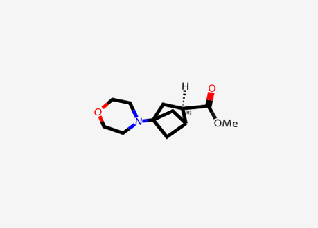 COC(=O)[C@@H]1CC2(N3CCOCC3)CC1C2